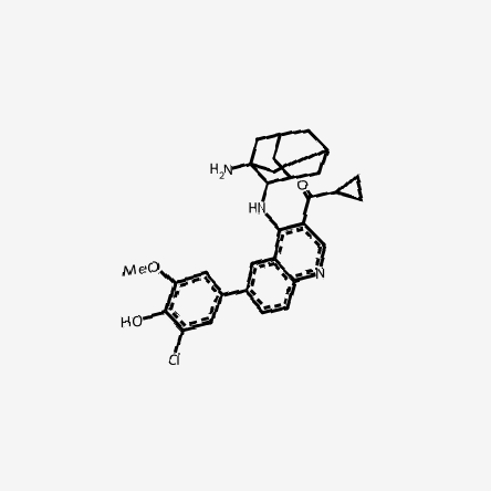 COc1cc(-c2ccc3ncc(C(=O)C4CC4)c(NC4C5CC6CC(C5)CC4(N)C6)c3c2)cc(Cl)c1O